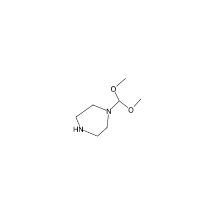 COC(OC)N1CCNCC1